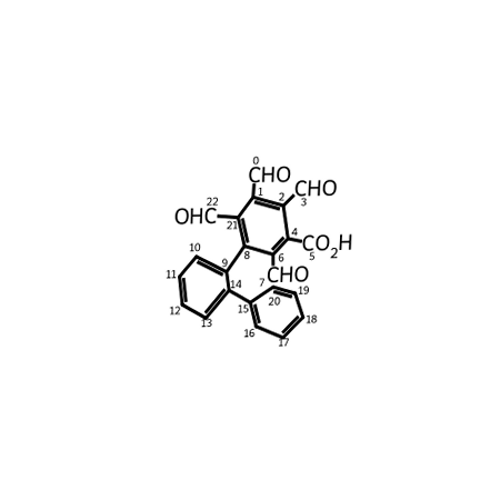 O=Cc1c(C=O)c(C(=O)O)c(C=O)c(-c2ccccc2-c2ccccc2)c1C=O